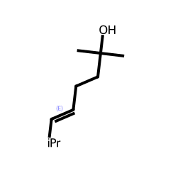 CC(C)/C=C/CCC(C)(C)O